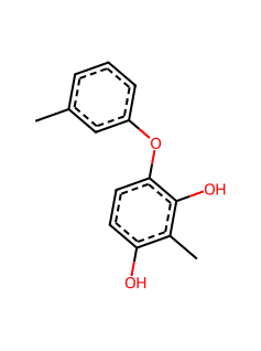 Cc1cccc(Oc2ccc(O)c(C)c2O)c1